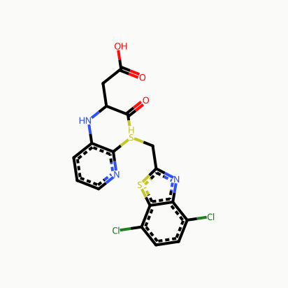 O=C(O)CC1Nc2cccnc2[SH](Cc2nc3c(Cl)ccc(Cl)c3s2)C1=O